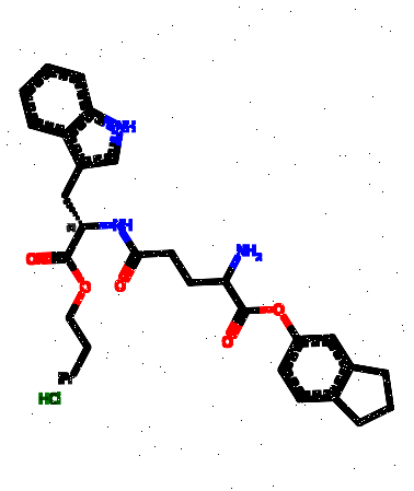 CC(C)CCOC(=O)[C@H](Cc1c[nH]c2ccccc12)NC(=O)CCC(N)C(=O)Oc1ccc2c(c1)CCC2.Cl